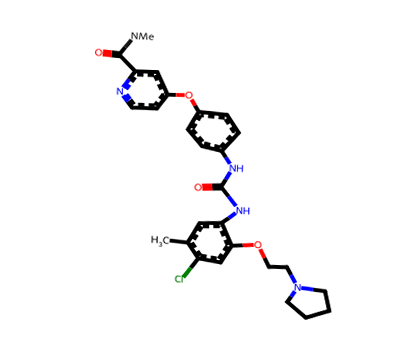 CNC(=O)c1cc(Oc2ccc(NC(=O)Nc3cc(C)c(Cl)cc3OCCN3CCCC3)cc2)ccn1